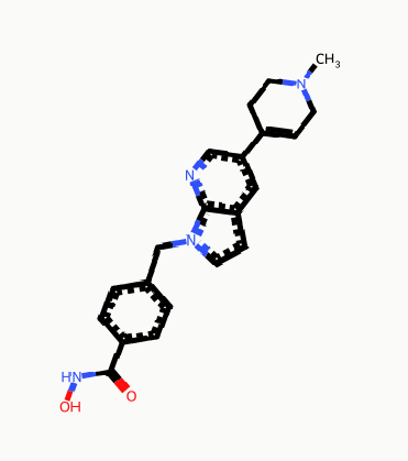 CN1CC=C(c2cnc3c(ccn3Cc3ccc(C(=O)NO)cc3)c2)CC1